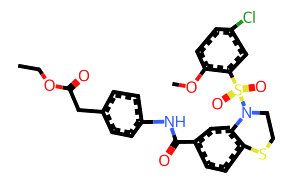 CCOC(=O)Cc1ccc(NC(=O)c2ccc3c(c2)N(S(=O)(=O)c2cc(Cl)ccc2OC)CCS3)cc1